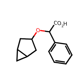 O=C(O)C(OC1CC2CC2C1)c1ccccc1